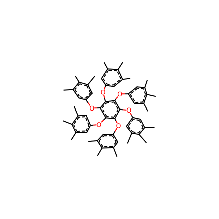 Cc1cc(Oc2c(Oc3cc(C)c(C)c(C)c3)c(Oc3cc(C)c(C)c(C)c3)c(Oc3cc(C)c(C)c(C)c3)c(Oc3cc(C)c(C)c(C)c3)c2Oc2cc(C)c(C)c(C)c2)cc(C)c1C